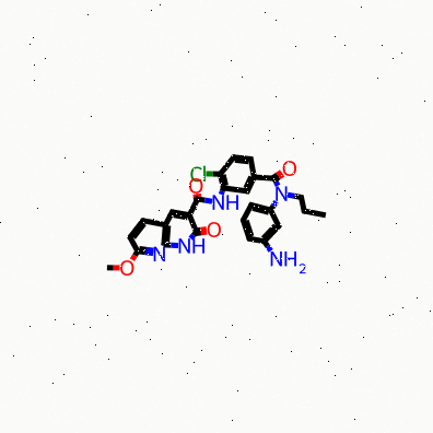 CCCN(C(=O)c1ccc(Cl)c(NC(=O)c2cc3ccc(OC)nc3[nH]c2=O)c1)c1cccc(N)c1